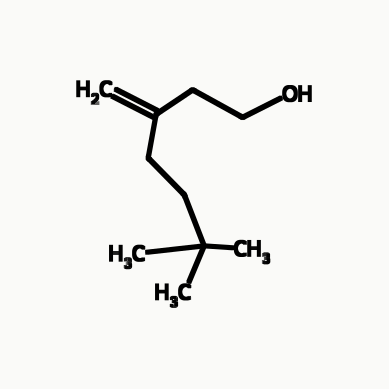 C=C(CCO)CCC(C)(C)C